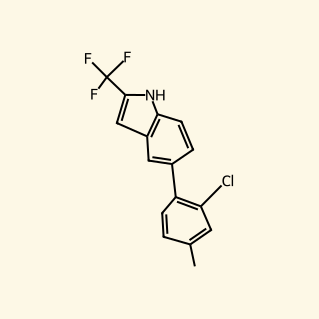 Cc1ccc(-c2ccc3[nH]c(C(F)(F)F)cc3c2)c(Cl)c1